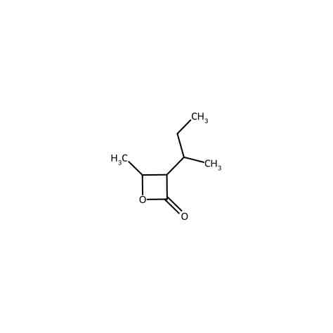 CCC(C)C1C(=O)OC1C